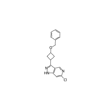 Clc1cc2[nH]nc(C3CC(OCc4ccccc4)C3)c2cn1